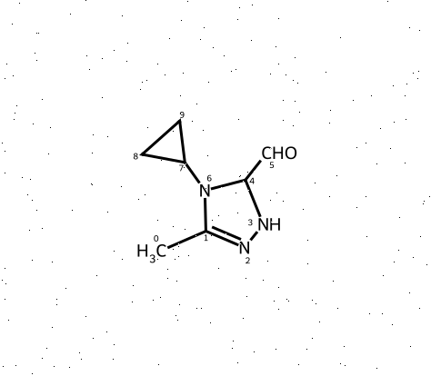 CC1=NNC(C=O)N1C1CC1